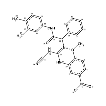 COc1ccc([N+](=O)[O-])cc1NC(=NC(C(=O)Nc1ccc(C)c(C)c1)c1ccccc1)NC#N